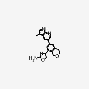 Cc1c[nH]c2ncc(-c3cc4c(c(C5COC(N)=N5)c3)COCC4)cc12